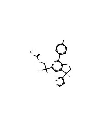 CC(C)(C)OC(=O)NCC(O)(c1cc2c(c(-c3ccc(F)cc3)n1)OC[C@]2(C)c1cc[nH]n1)C(F)(F)F